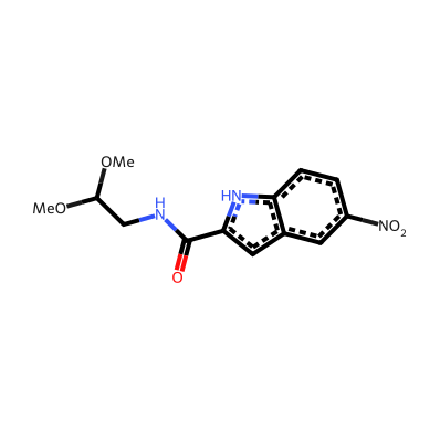 COC(CNC(=O)c1cc2cc([N+](=O)[O-])ccc2[nH]1)OC